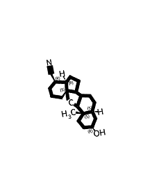 C[C@]12CC[C@@H](O)C[C@@H]1CCC1C3CC[C@@H]4[C@H](C#N)CCC[C@]34CCC12